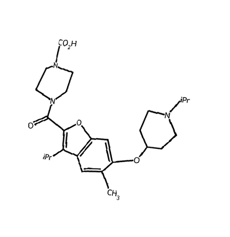 Cc1cc2c(C(C)C)c(C(=O)N3CCN(C(=O)O)CC3)oc2cc1OC1CCN(C(C)C)CC1